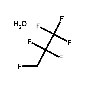 FCC(F)(F)C(F)(F)F.O